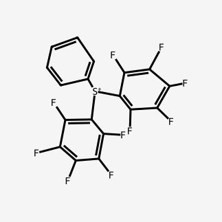 Fc1c(F)c(F)c([S+](c2ccccc2)c2c(F)c(F)c(F)c(F)c2F)c(F)c1F